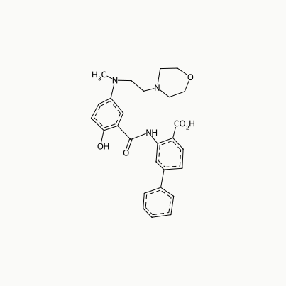 CN(CCN1CCOCC1)c1ccc(O)c(C(=O)Nc2cc(-c3ccccc3)ccc2C(=O)O)c1